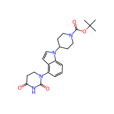 CC(C)(C)OC(=O)N1CCC(n2ccc3c(N4CCC(=O)NC4=O)cccc32)CC1